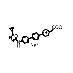 O=C([O-])CC12CCC(c3ccc(-c4ccc(Nc5nnc(C6CC6)o5)cc4)cc3)(CC1)CO2.[Na+]